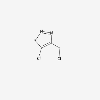 ClCc1nnsc1Cl